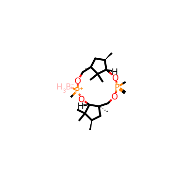 [BH3-][P+]1(C)OC[C@@]2(C)C[C@@H](C)[C@H](OP(=C)(C)OC[C@@]3(C)C[C@@H](C)C(C)(C)[C@@H]3O1)C2(C)C